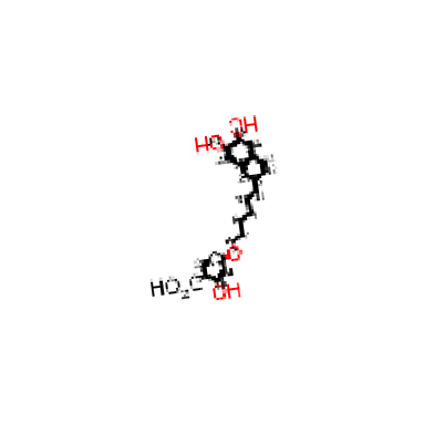 O=C(O)c1ccc(OCCCCCCc2ccc3cc(O)c(O)cc3c2)cc1O